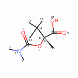 CN(C)C(=O)O[C@@](C)(C(=O)O)C(C)(C)C